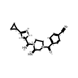 N#Cc1ccc(C(=O)N2CCN(C(=N)c3nc(C4CC4)ns3)C(=N)C2)cc1